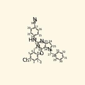 Cc1cc(Cl)cc(C)c1Oc1nc(Nc2ccc(C#N)cc2)nc2ccn(Cc3ccccc3)c12